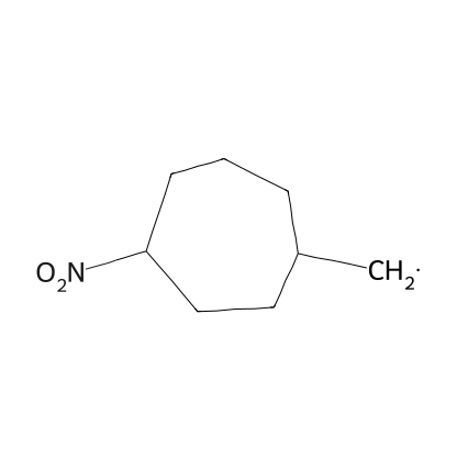 [CH2]C1CCCC([N+](=O)[O-])CC1